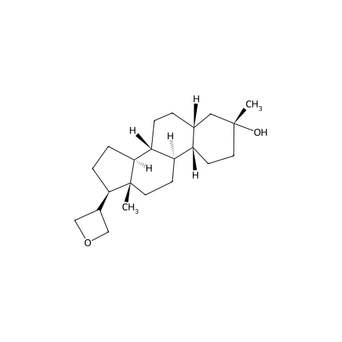 C[C@@]1(O)CC[C@H]2[C@H](CC[C@@H]3[C@@H]2CC[C@]2(C)[C@@H](C4COC4)CC[C@@H]32)C1